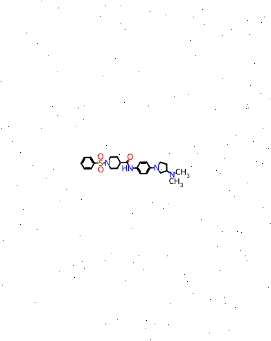 CN(C)C1CCN(c2ccc(NC(=O)C3CCN(S(=O)(=O)c4ccccc4)CC3)cc2)C1